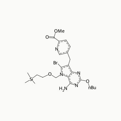 CCCCOc1nc(N)c2c(n1)c(Cc1ccc(C(=O)OC)nc1)c(Br)n2COCC[Si](C)(C)C